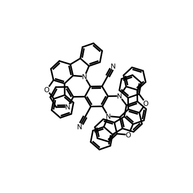 N#Cc1c(-c2ccccn2)c(-n2c3ccccc3c3ccc4oc5ccccc5c4c32)c(C#N)c(-n2c3ccccc3c3ccc4oc5ccccc5c4c32)c1-n1c2ccccc2c2ccc3oc4ccccc4c3c21